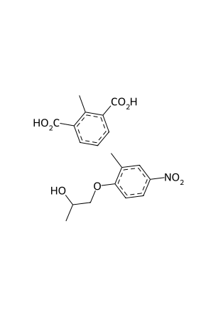 Cc1c(C(=O)O)cccc1C(=O)O.Cc1cc([N+](=O)[O-])ccc1OCC(C)O